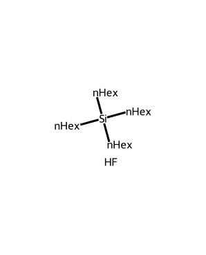 CCCCCC[Si](CCCCCC)(CCCCCC)CCCCCC.F